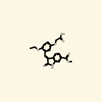 CCOc1ccc(OCC(=O)O)cc1/C=C1/C(=O)Nc2cc(C(=O)OC)ccc21